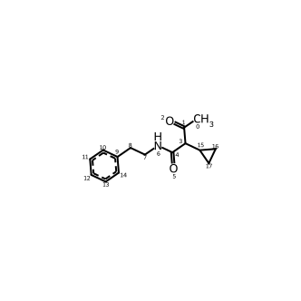 CC(=O)C(C(=O)NCCc1ccccc1)C1CC1